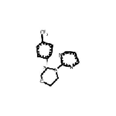 FC(F)(F)c1ccc([C@H]2COCCN2c2ncccn2)cc1